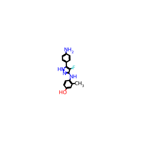 Cc1cc(O)ccc1Nc1n[nH]c(-c2ccc(N)cc2)c1F